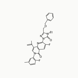 C=C(C)c1cn(-c2cc(C)ccc2F)c(=O)c2cc(F)c(-n3nc(COCc4ccccc4)n(CC)c3=O)nc12